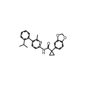 Cc1nc(NC(=O)C2(c3ccc4c(c3)OCO4)CC2)ccc1-c1ccccc1C(C)C